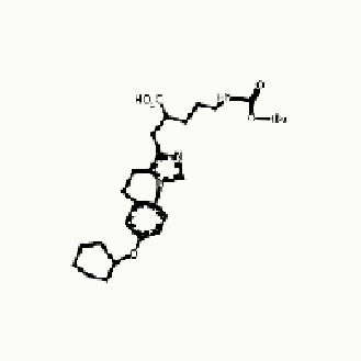 CC(C)(C)OC(=O)NCCCC(Cc1ncn2c1CCc1cc(OC3CCCCC3)ccc1-2)C(=O)O